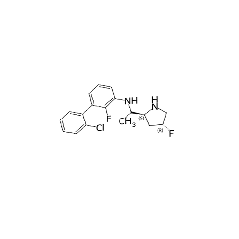 CC(Nc1cccc(-c2ccccc2Cl)c1F)[C@@H]1C[C@@H](F)CN1